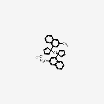 Cc1cc([C]2([Zr+2][C]3(c4cc(C)cc5ccccc45)C=CC=C3)C=CC=C2)c2ccccc2c1.[Cl-].[Cl-]